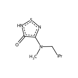 CC(C)CN(C)c1ns[nH]c1=O